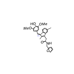 COc1cc(/C=C2/C(C)=C(CC(=O)NCc3ccco3)c3cc(C)ccc32)cc(OC)c1O